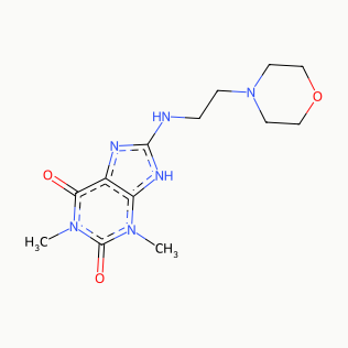 Cn1c(=O)c2nc(NCCN3CCOCC3)[nH]c2n(C)c1=O